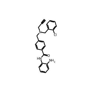 C#CCN(Cc1ccc(C(=O)Nc2ccccc2N)cc1)Cc1ccccc1Cl